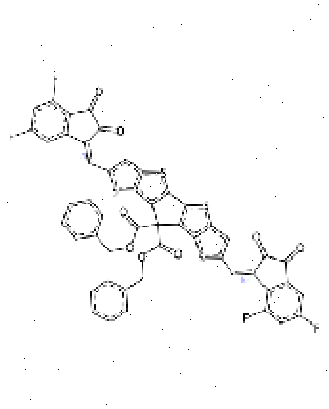 O=C1C(=O)c2c(F)cc(F)cc2/C1=C/c1cc2sc3c(c2s1)C(C(=O)OCc1ccccc1)(C(=O)OCc1ccccc1)c1c-3sc2cc(/C=C3\C(=O)C(=O)c4cc(F)cc(F)c43)sc12